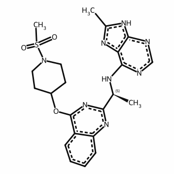 Cc1nc2c(N[C@@H](C)c3nc(OC4CCN(S(C)(=O)=O)CC4)c4ccccc4n3)ncnc2[nH]1